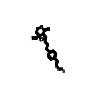 CC1(O)CCOC(=O)C1CCCCc1ccc(C=NN)cc1